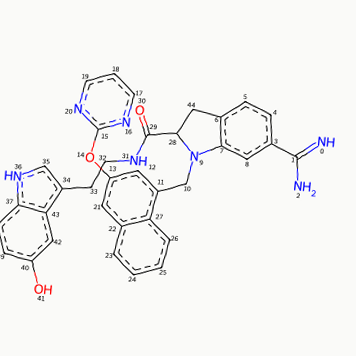 N=C(N)c1ccc2c(c1)N(Cc1cc(Oc3ncccn3)cc3ccccc13)C(C(=O)NCCc1c[nH]c3ccc(O)cc13)C2